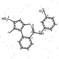 Cc1cc(C(=O)O)c(C)n1-c1ccccc1C(=O)Nc1cccc([N+](=O)[O-])c1